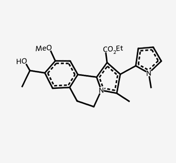 CCOC(=O)c1c(-c2cccn2C)c(C)n2c1-c1cc(OC)c(C(C)O)cc1CC2